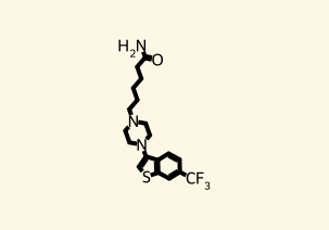 NC(=O)CCCCCN1CCN(c2csc3cc(C(F)(F)F)ccc23)CC1